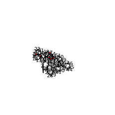 CC1C2=C(C=CC1N(c1ccccc1)c1ccccc1-c1ccccc1)[C@H]1C=CC=CC1C21c2ccccc2-c2c(N(c3ccccc3)c3cccc(-c4ccccc4)c3)cccc21